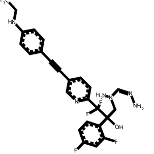 N/N=C\N(N)CC(O)(c1ccc(F)cc1F)C(F)(F)c1ccc(C#Cc2ccc(NCC(F)(F)F)cc2)cn1